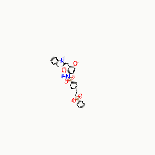 COc1ccc(NS(=O)(=O)c2ccc(CCS(=O)(=O)c3ccccc3)cc2)c2c1C[C@@H](N(C)c1ccccc1C)CO2